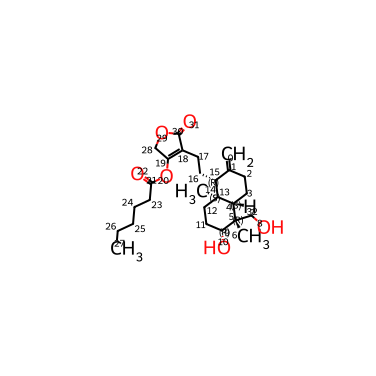 C=C1CC[C@@H]2[C@](C)(CO)[C@H](O)CC[C@@]2(C)[C@@H]1CCC1=C(OC(=O)CCCCC)COC1=O